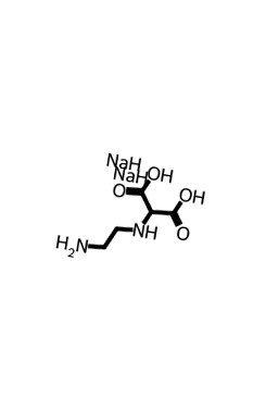 NCCNC(C(=O)O)C(=O)O.[NaH].[NaH]